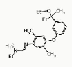 CCOC(C)(CC)c1cccc(Oc2cc(C)c(N=CN(C)CC)cc2C)c1